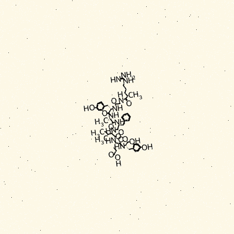 CC[C@H](C)[C@H](NC(=O)[C@H](Cc1ccccc1)NC(=O)[C@H](C)NC(=O)[C@H](Cc1ccc(O)cc1)NC(=O)CNC(=O)[C@@H](C)CCCNC(=N)N)C(=O)N[C@@H](CCC(=O)O)C(=O)N[C@@H](Cc1ccc(O)cc1)C(=O)O